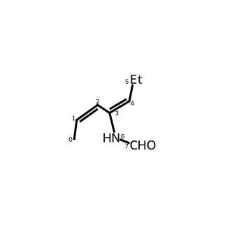 C/C=C\C(=C/CC)NC=O